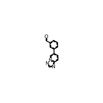 O=Cc1cccc(-c2ccc3ncnn3c2)c1